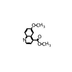 COC(=O)c1ccnc2ccc(OC)cc12